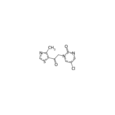 Cc1ncsc1C(=O)Cn1cc(Cl)cnc1=O